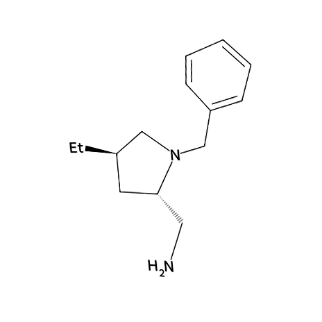 CC[C@@H]1C[C@@H](CN)N(Cc2ccccc2)C1